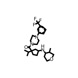 CC1COCCC1NC1CCC(C(=O)N2CCN(c3cccc(C(F)(F)F)c3)CC2)(C(C)C)C1